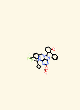 C[C@@H](Nc1nc(OC=O)nc2nc(C3CCCC(=O)C3c3ccccc3)n(Cc3ccc(C(F)(F)F)cc3)c12)C1CCC1